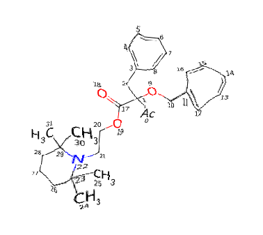 CC(=O)C(Cc1ccccc1)(OCc1ccccc1)C(=O)OCCN1C(C)(C)CCCC1(C)C